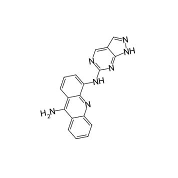 Nc1c2ccccc2nc2c(Nc3ncc4cn[nH]c4n3)cccc12